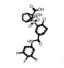 O=C(Nc1cc(F)c(F)c(F)c1)c1ccc(Cl)c(S(=O)(=O)[C@@H]2C3CCC2[C@@](O)(C(=O)O)C3)c1